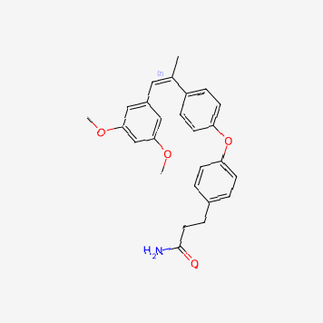 COc1cc(/C=C(/C)c2ccc(Oc3ccc(CCC(N)=O)cc3)cc2)cc(OC)c1